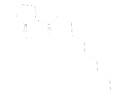 CCCCCCCC(C)OC(=O)N1CCCC1=O